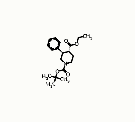 CCOC(=O)[C@@H]1CCN(C(=O)OC(C)(C)C)C[C@H]1c1ccccc1